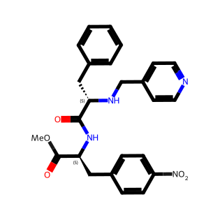 COC(=O)[C@H](Cc1ccc([N+](=O)[O-])cc1)NC(=O)[C@H](Cc1ccccc1)NCc1ccncc1